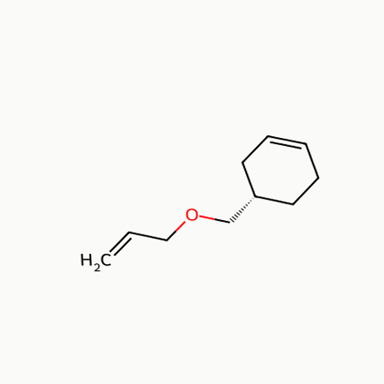 C=CCOC[C@@H]1CC=CCC1